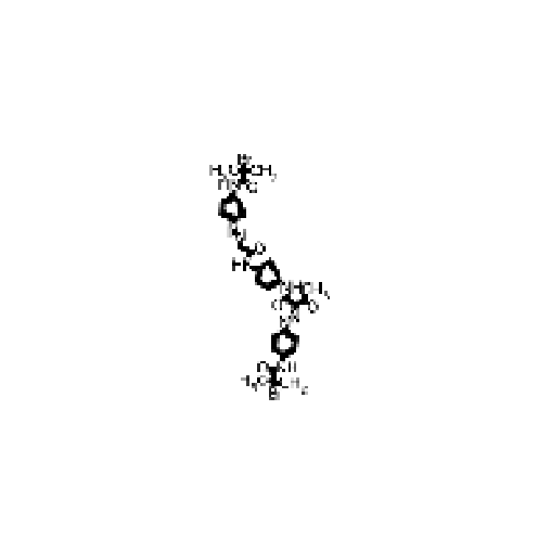 CC(=O)C(N=Nc1ccc(NC(=O)C(C)(C)Br)cc1)C(=O)Nc1ccc(NC(=O)CN=Nc2ccc(NC(=O)C(C)(C)Br)cc2)cc1